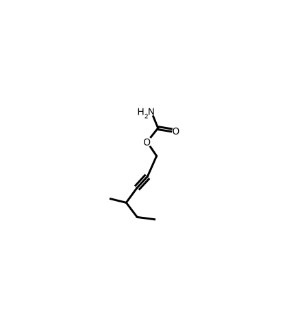 CCC(C)C#CCOC(N)=O